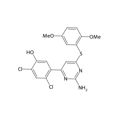 COc1ccc(OC)c(Sc2cc(-c3cc(O)c(Cl)cc3Cl)nc(N)n2)c1